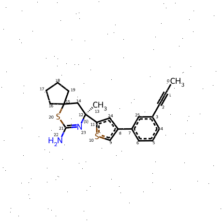 CC#Cc1cccc(-c2csc([C@]3(C)CC4(CCCC4)SC(N)=N3)c2)c1